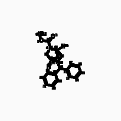 CC(C)(C)OC(=O)N1C[C@@H]2C[C@H]1CN2C(c1ccccc1)c1ccccc1